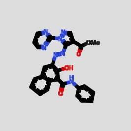 COC(=O)c1cnn(-c2ncccn2)c1/N=N/c1cc2ccccc2c(C(=O)Nc2ccccc2)c1O